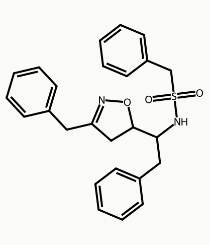 O=S(=O)(Cc1ccccc1)NC(Cc1ccccc1)C1CC(Cc2ccccc2)=NO1